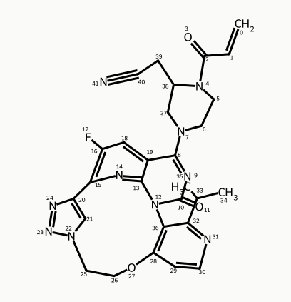 C=CC(=O)N1CCN(c2nc(=O)n3c4nc(c(F)cc24)-c2cn(nn2)CCOc2ccnc(C(C)C)c2-3)CC1CC#N